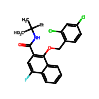 CCC(C)(NC(=O)c1cc(F)c2ccccc2c1OCc1ccc(Cl)cc1Cl)C(=O)O